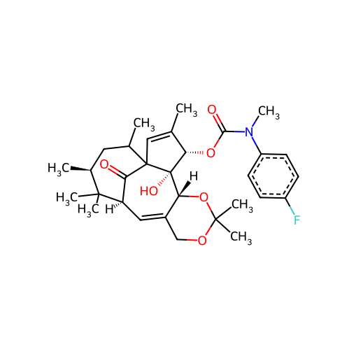 CC1=CC23C(=O)[C@@H](C=C4COC(C)(C)O[C@H]4[C@]2(O)[C@H]1OC(=O)N(C)c1ccc(F)cc1)C(C)(C)[C@@H](C)CC3C